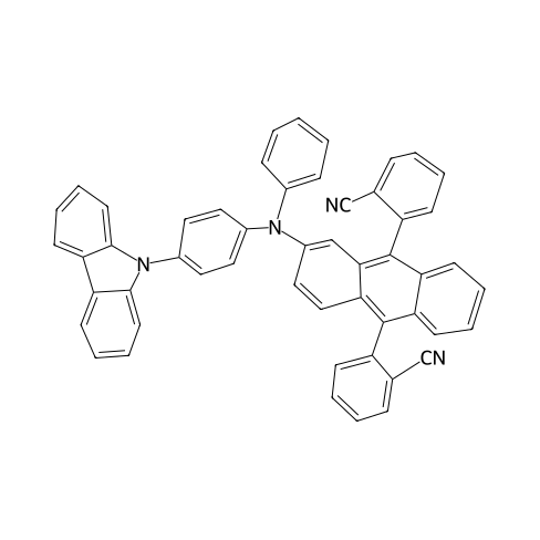 N#Cc1ccccc1-c1c2ccccc2c(-c2ccccc2C#N)c2cc(N(c3ccccc3)c3ccc(-n4c5ccccc5c5ccccc54)cc3)ccc12